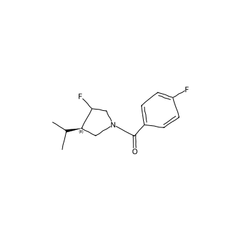 CC(C)[C@@H]1CN(C(=O)c2ccc(F)cc2)CC1F